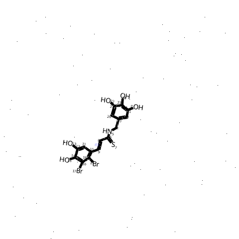 Oc1cc(CNC(=S)/C=C/c2cc(O)c(O)c(Br)c2Br)cc(O)c1O